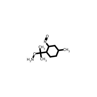 CC1CCC(C(C)(C)ON)C(N=O)C1